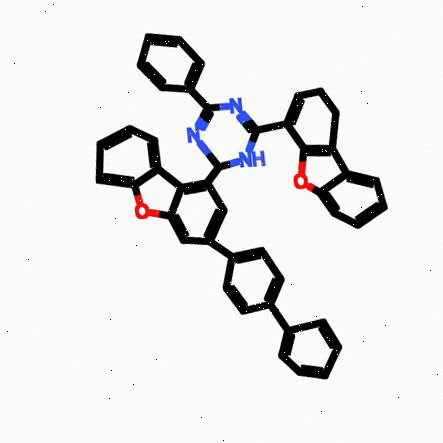 C1=C(C2=NC(c3ccccc3)=NC(c3cc(-c4ccc(-c5ccccc5)cc4)cc4oc5ccccc5c34)N2)c2oc3ccccc3c2CC1